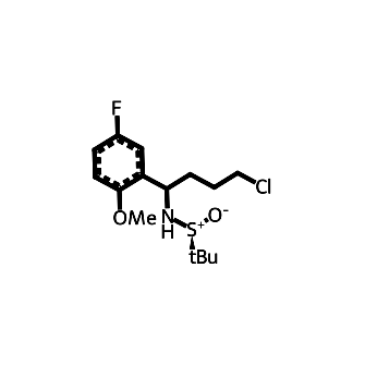 COc1ccc(F)cc1C(CCCCl)N[S@@+]([O-])C(C)(C)C